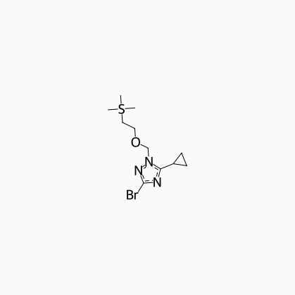 CS(C)(C)CCOCn1nc(Br)nc1C1CC1